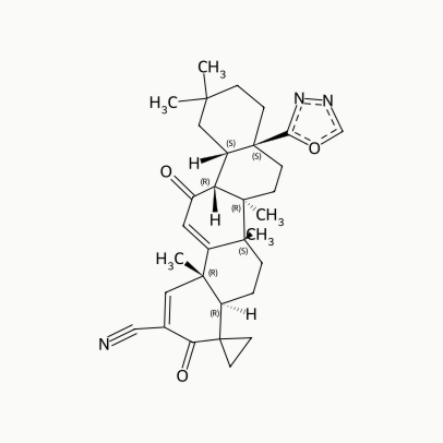 CC1(C)CC[C@]2(c3nnco3)CC[C@]3(C)[C@H](C(=O)C=C4[C@@]5(C)C=C(C#N)C(=O)C6(CC6)[C@@H]5CC[C@]43C)[C@@H]2C1